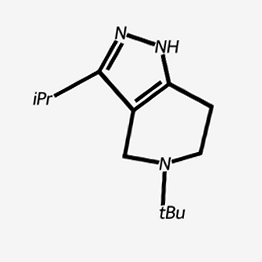 CC(C)c1n[nH]c2c1CN(C(C)(C)C)CC2